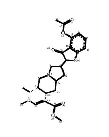 CC[C@@H]1CN2CC(C3Nc4cccc(OC(C)=O)c4C3=O)CC2C[C@@H]1/C(=C\OC)C(=O)OC